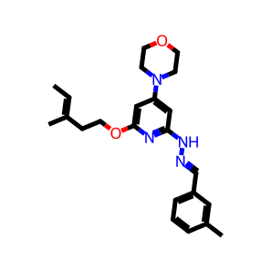 CC=C(C)CCOc1cc(N2CCOCC2)cc(NN=Cc2cccc(C)c2)n1